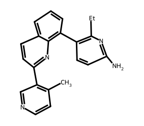 CCc1nc(N)ccc1-c1cccc2ccc(-c3cnccc3C)nc12